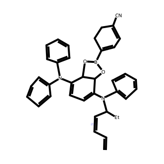 C=C/C=C\C(CC)N(C1=CC=C(N(c2ccccc2)c2ccccc2)C2OB(C3=CC=C(C#N)CC3)OC12)c1ccccc1